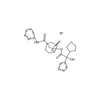 O=C(O[C@H]1C[N+]2(C(=O)Nc3cccnn3)CCC1CC2)C(O)(c1ccsc1)C1CCCC1.[Br-]